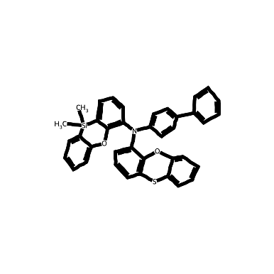 C[Si]1(C)c2ccccc2Oc2c(N(c3ccc(-c4ccccc4)cc3)c3cccc4c3Oc3ccccc3S4)cccc21